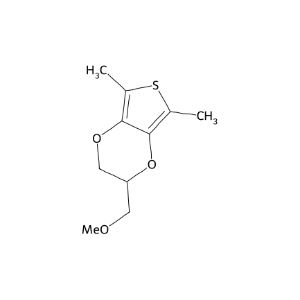 COCC1COc2c(C)sc(C)c2O1